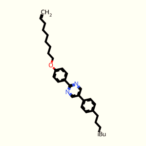 C=CCCCCCCCOc1ccc(-c2ncc(-c3ccc(CCCC(C)CC)cc3)cn2)cc1